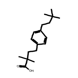 CC(C)(C)CCc1ccc(CCC(C)(C)C(=O)O)cc1